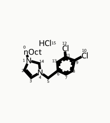 CCCCCCCCN1C=CN(Cc2ccc(Cl)c(Cl)c2)C1.Cl